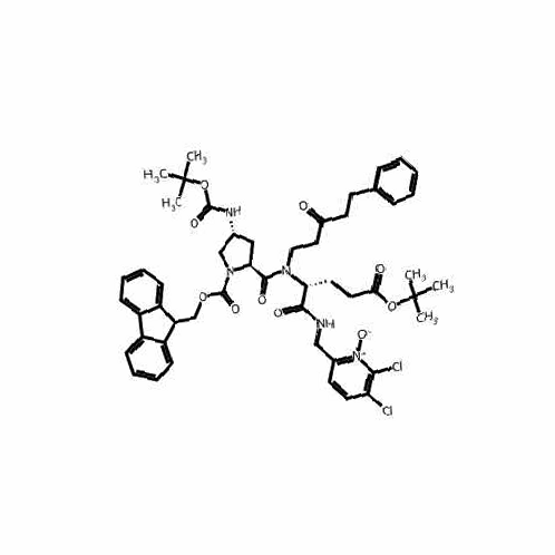 CC(C)(C)OC(=O)CC[C@H](C(=O)NCc1ccc(Cl)c(Cl)[n+]1[O-])N(CCC(=O)CCc1ccccc1)C(=O)[C@@H]1C[C@@H](NC(=O)OC(C)(C)C)CN1C(=O)OCC1c2ccccc2-c2ccccc21